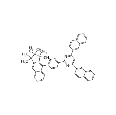 CC1(C)c2cc3ccccc3c(-c3ccc(-c4nc(-c5ccc6ccccc6c5)cc(-c5ccc6ccccc6c5)n4)cc3)c2C(C)(C)C1(C)C